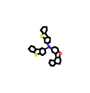 c1ccc2c(c1)ccc1oc3ccc(N(c4ccc5c(c4)sc4ccccc45)c4ccc5sc6ccccc6c5c4)cc3c12